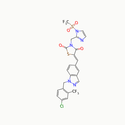 O=C1S/C(=C\c2ccc3c(cnn3Cc3ccc(Cl)cc3C(F)(F)F)c2)C(=O)N1Cc1nccn1S(=O)(=O)C(F)(F)F